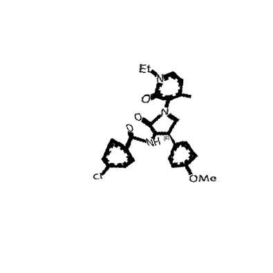 CCn1ccc(C)c(N2C[C@@H](c3ccc(OC)cc3)C(NC(=O)c3ccc(Cl)cc3)C2=O)c1=O